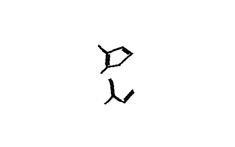 C=CC(=C)C.CC1=C(C)CC=C1